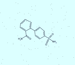 NC(=O)c1ccccc1-c1ccc(S(N)(=O)=O)cc1